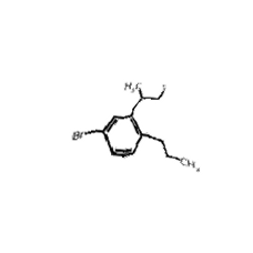 CCCc1ccc(Br)cc1[C](C)CF